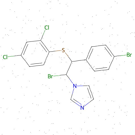 Clc1ccc(SC(c2ccc(Br)cc2)C(Br)n2ccnc2)c(Cl)c1